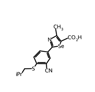 Cc1nc(-c2ccc(SCC(C)C)c(C#N)c2)[se]c1C(=O)O